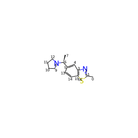 Cc1nc2cc([C@H](C)N3CCCC3)ccc2s1